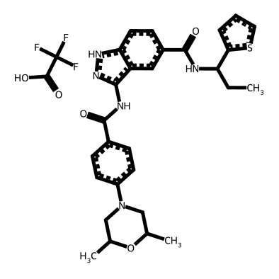 CCC(NC(=O)c1ccc2[nH]nc(NC(=O)c3ccc(N4CC(C)OC(C)C4)cc3)c2c1)c1cccs1.O=C(O)C(F)(F)F